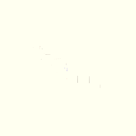 Cc1ccc(S(=O)(=O)N2CCc3ccc([N+](=O)[O-])cc3CC2)cc1